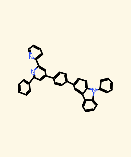 c1ccc(-c2cc(-c3ccc(-c4ccc5c(c4)c4ccccc4n5-c4ccccc4)cc3)cc(-c3ccccn3)n2)cc1